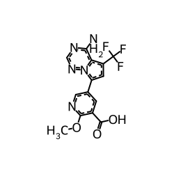 COc1ncc(-c2cc(C(F)(F)F)c3c(N)ncnn23)cc1C(=O)O